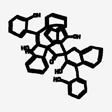 O=C(C1(c2ccccc2O)Cc2ccccc2C(c2ccccc2O)=C1O)C1(c2ccccc2O)Cc2ccccc2C(c2ccccc2O)=C1O